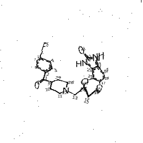 O=C(c1ccc(F)cc1)C1CCN(CC2COc3ccc4[nH]c(=O)[nH]c4c3O2)CC1